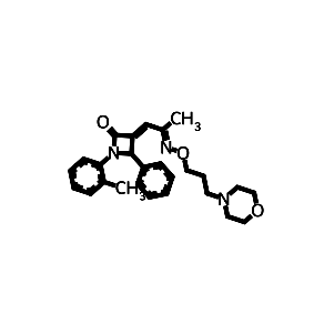 CC(C=C1C(=O)N(c2ccccc2C)C1c1ccccc1)=NOCCCN1CCOCC1